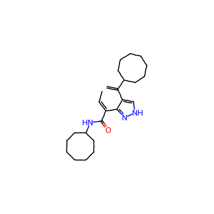 C=C(c1c[nH]nc1/C(=C\C)C(=O)NC1CCCCCCC1)C1CCCCCCC1